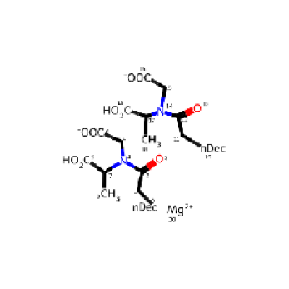 CCCCCCCCCCCC(=O)N(CC(=O)[O-])C(C)C(=O)O.CCCCCCCCCCCC(=O)N(CC(=O)[O-])C(C)C(=O)O.[Mg+2]